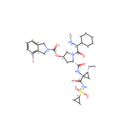 CC[C@@H]1C[C@]1(NC(=O)[C@@H]1C[C@@H](OC(=O)N2Cc3cccc(I)c3C2)CN1C(=O)[C@@H](NCl)C1CCCCC1)C(=O)NS(=O)(=O)C1CC1